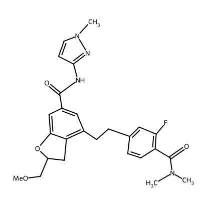 COCC1Cc2c(CCc3ccc(C(=O)N(C)C)c(F)c3)cc(C(=O)Nc3ccn(C)n3)cc2O1